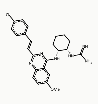 COc1ccc2nc(/C=C/c3ccc(Cl)cc3)nc(N[C@@H]3CCCC[C@@H]3NC(=N)N)c2c1